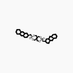 O=P1(Cc2ccc3cc4ccccc4cc3c2)OCC2(CO1)COP(=O)(Cc1ccc3cc4ccccc4cc3c1)OC2